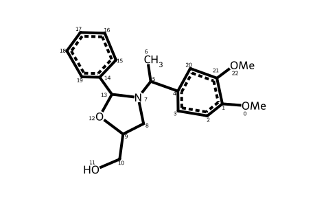 COc1ccc(C(C)N2CC(CO)OC2c2ccccc2)cc1OC